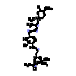 COC1=CC[C@@H]([C@@H](C)/C=C(C)/C=C\C=C/C(=O)N[C@H](C(=O)N/C=C\C[C@H](C/C=C(\C)Cl)O[Si](C)(C)C(C)(C)C)C(C)C)OC1=O